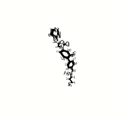 O=C1O[C@@H](Cn2ccnn2)CN1c1ccc(-c2ccc(CNCCCF)cc2)c(F)c1